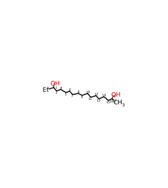 CCC(O)CCCCCCCCCCCCCC(C)O